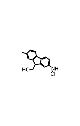 Cc1ccc2c(c1)C(CO)c1cc(NCl)ccc1-2